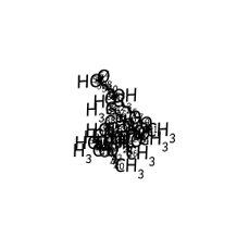 CCCCCCOCCOC(C)O.CCCCCCOCCOC(C)O.CCCCOC(C)OC(C)OC(C)O.CCCCOC(C)OC(C)OC(C)O.O=C(O)CCCCC(=O)O